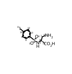 NC[C@H](NS(=O)(=O)c1ccc(I)cc1)C(=O)O